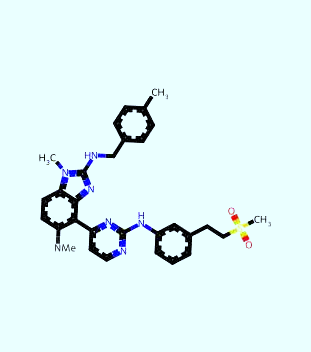 CNc1ccc2c(nc(NCc3ccc(C)cc3)n2C)c1-c1ccnc(Nc2cccc(CCS(C)(=O)=O)c2)n1